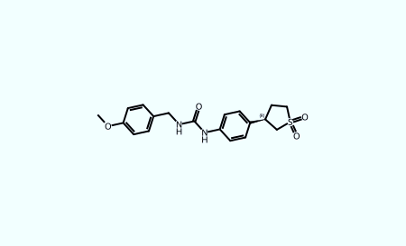 COc1ccc(CNC(=O)Nc2ccc([C@H]3CCS(=O)(=O)C3)cc2)cc1